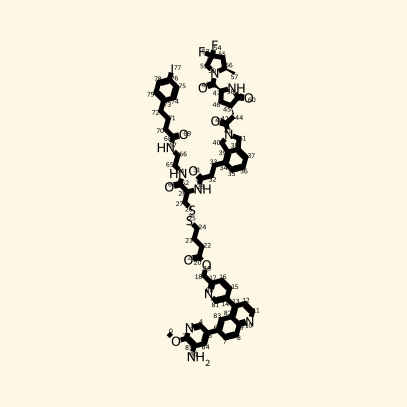 COc1ncc(-c2ccc3nccc(-c4ccc(COC(=O)CCCSSCC(NC(=O)CCc5cccc6c5CN(C(=O)C[C@@H]5C[C@@H](C(=O)N7CC(F)(F)C[C@H]7C)NC5=O)C6)C(=O)NCCNC(=O)CCCc5ccc(I)cc5)nc4)c3c2)cc1N